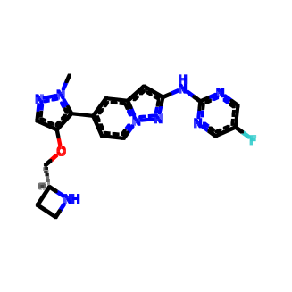 Cn1ncc(OC[C@H]2CCN2)c1-c1ccn2nc(Nc3ncc(F)cn3)cc2c1